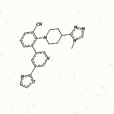 Cn1cnnc1C1CCN(c2c(C#N)cccc2-c2cncc(-c3ncco3)c2)CC1